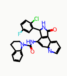 O=C1NC(c2cc(F)ccc2Cl)c2c(NC(=O)N3CCCc4ccccc43)cc3ncccc3c21